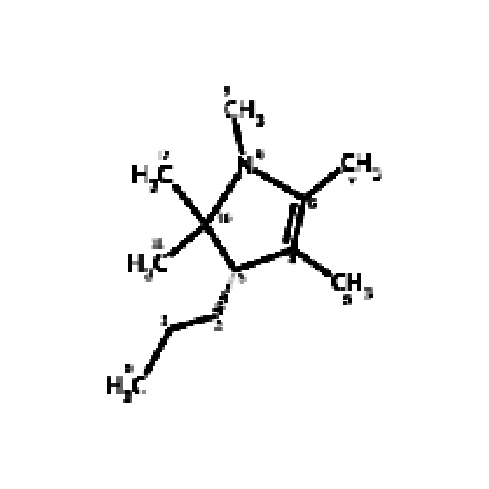 CCC[C@H]1C(C)=C(C)N(C)C1(C)C